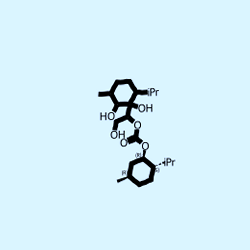 CC(C)C1CCC(C)C(O)C1(O)C(CO)OC(=O)O[C@@H]1C[C@H](C)CC[C@H]1C(C)C